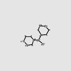 [O-][S+](N1CCOSC1)N1CCOSC1